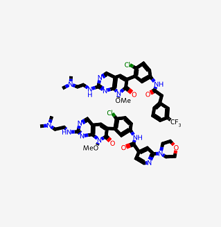 COn1c(=O)c(-c2cc(NC(=O)Cc3cccc(C(F)(F)F)c3)ccc2Cl)cc2cnc(NCCN(C)C)nc21.COn1c(=O)c(-c2cc(NC(=O)c3ccnc(N4CCOCC4)c3)ccc2Cl)cc2cnc(NCCN(C)C)nc21